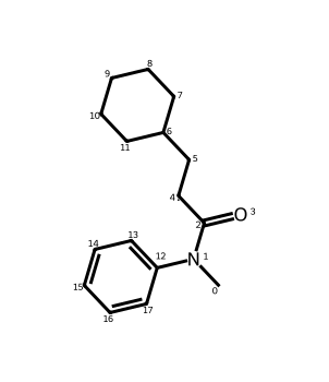 CN(C(=O)[CH]CC1CCCCC1)c1ccccc1